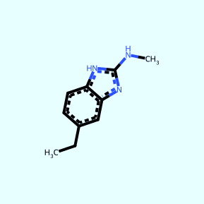 CCc1ccc2[nH]c(NC)nc2c1